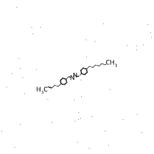 C/C=C/CCc1ccc(C=NN=Cc2ccc(CCCCCCC)cc2)cc1